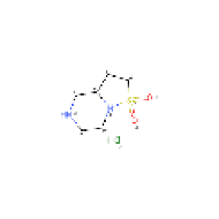 Cl.O=S1(=O)CCC2CNCCN21